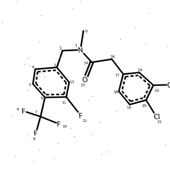 CN(Cc1ccc(C(F)(F)F)c(F)c1)C(=O)Cc1ccc(Cl)c(Cl)c1